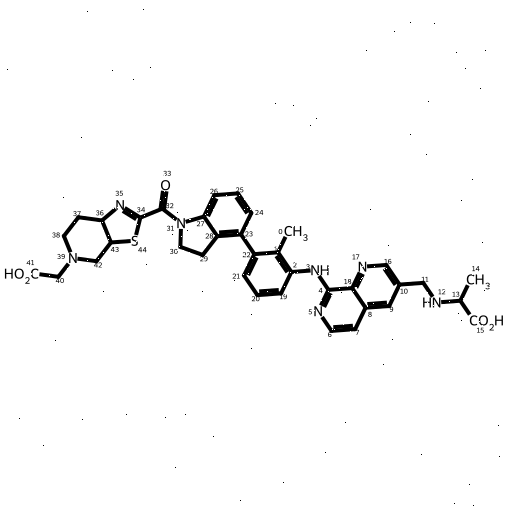 Cc1c(Nc2nccc3cc(CNC(C)C(=O)O)cnc23)cccc1-c1cccc2c1CCN2C(=O)C1=NC2CCN(CC(=O)O)CC2S1